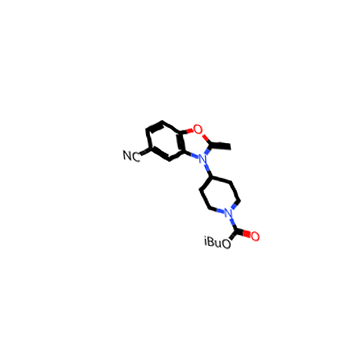 C=C1Oc2ccc(C#N)cc2N1C1CCN(C(=O)OCC(C)C)CC1